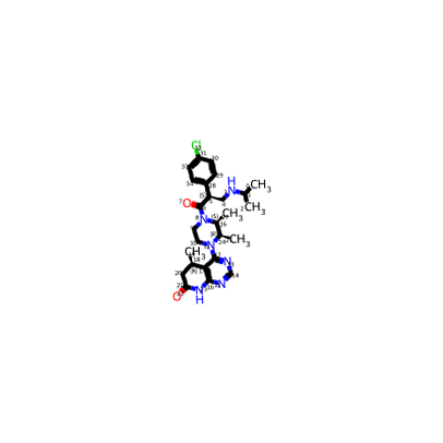 CC(C)NC[C@@H](C(=O)N1CCN(c2ncnc3c2[C@H](C)CC(=O)N3)[C@H](C)[C@@H]1C)c1ccc(Cl)cc1